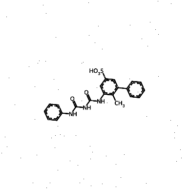 Cc1c(NC(=O)NC(=O)Nc2ccccc2)cc(S(=O)(=O)O)cc1-c1ccccc1